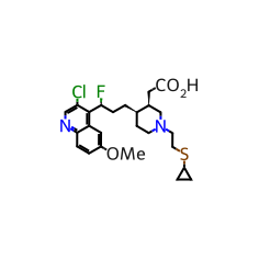 COc1ccc2ncc(Cl)c([C@@H](F)CC[C@@H]3CCN(CCSC4CC4)C[C@@H]3CC(=O)O)c2c1